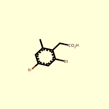 CCc1cc(Br)cc(C)c1CC(=O)O